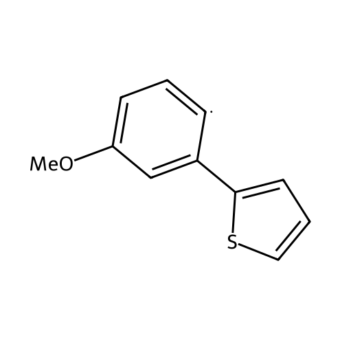 COc1cc[c]c(-c2cccs2)c1